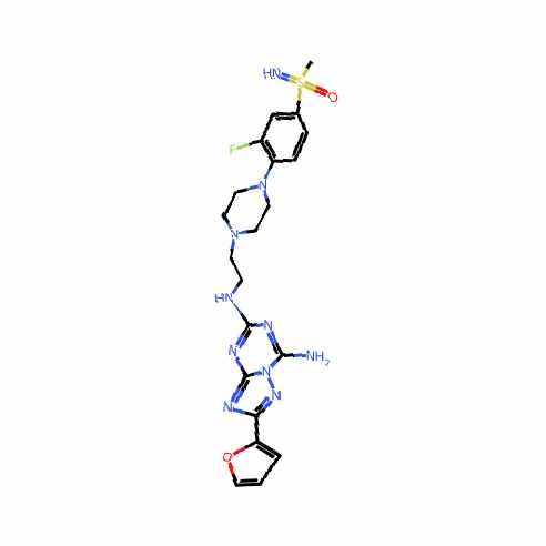 CS(=N)(=O)c1ccc(N2CCN(CCNc3nc(N)n4nc(-c5ccco5)nc4n3)CC2)c(F)c1